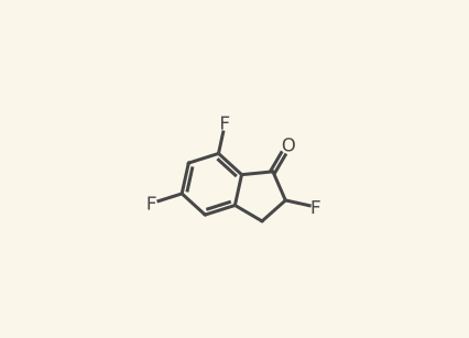 O=C1c2c(F)cc(F)cc2CC1F